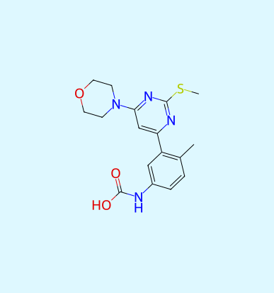 CSc1nc(-c2cc(NC(=O)O)ccc2C)cc(N2CCOCC2)n1